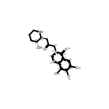 O=C(C[C@@H]1NCCC[C@H]1O)Cn1cnc2c(Cl)c(Cl)c(Cl)cc2c1=O